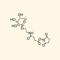 C[C@@H]1O[C@@H](OCCNC(=O)CCC(=O)ON2C(=O)CCC2=O)[C@@H](O)[C@H](O)C1O